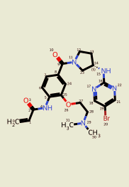 C=CC(=O)Nc1ccc(C(=O)N2CC[C@H](Nc3ncc(Br)cn3)C2)cc1OCCN(C)C